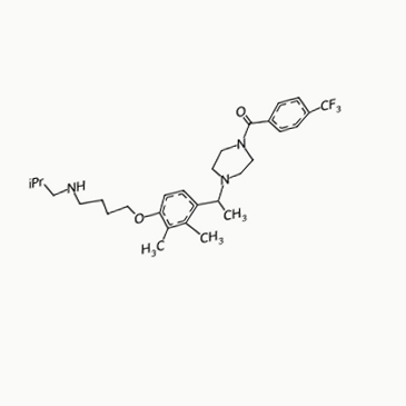 Cc1c(OCCCCNCC(C)C)ccc(C(C)N2CCN(C(=O)c3ccc(C(F)(F)F)cc3)CC2)c1C